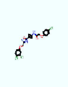 O=C(COc1ccc(Cl)cc1)NC12CC1(c1nc(COc3ccc(Cl)c(Cl)c3)no1)C2